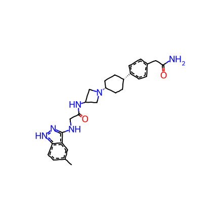 Cc1ccc2[nH]nc(NCC(=O)NC3CN([C@H]4CC[C@@H](c5ccc(CC(N)=O)cc5)CC4)C3)c2c1